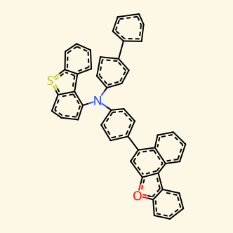 c1ccc(-c2ccc(N(c3ccc(-c4cc5oc6ccccc6c5c5ccccc45)cc3)c3cccc4sc5ccccc5c34)cc2)cc1